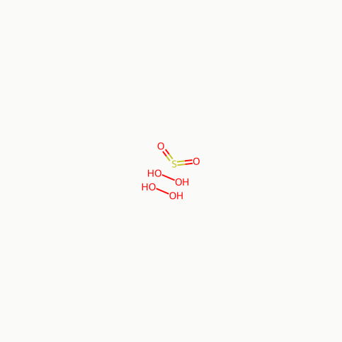 O=S=O.OO.OO